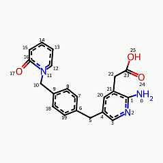 Nc1ncc(Cc2ccc(Cn3ccccc3=O)cc2)cc1CC(=O)O